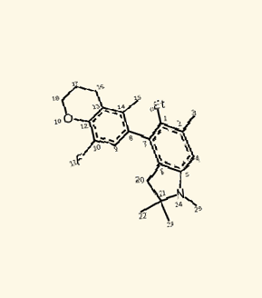 CCc1c(C)cc2c(c1-c1cc(F)c3c(c1C)CCCO3)CC(C)(C)N2C